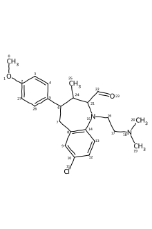 COc1ccc(C2Cc3cc(Cl)ccc3N(CCN(C)C)C(C=O)C2C)cc1